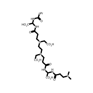 CCCC(=O)NC(NC(=O)CCN(CCN(CCC(=O)NC(NC(=O)CCN(C)C)C(=O)O)CC(=O)O)CC(=O)O)C(=O)O